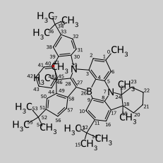 Cc1cc2c3c(c1)N1c4c(cc(C(C)(C)C)cc4C4(C)CCCCC14C)B3C1=C(N2c2ccc(C(C)(C)C)cc2-c2ccccc2)C(C)(C)c2cc(C(C)(C)C)ccc21